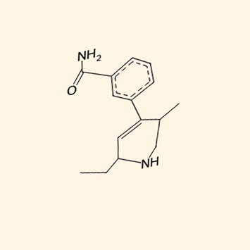 CCC1C=C(c2cccc(C(N)=O)c2)C(C)CN1